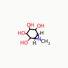 CN1[C@@H]2C(O)C(O)C(O)C(O)[C@@H]21